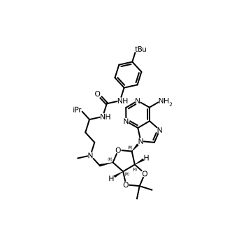 CC(C)C(CCN(C)C[C@H]1O[C@@H](n2cnc3c(N)ncnc32)[C@@H]2OC(C)(C)O[C@@H]21)NC(=O)Nc1ccc(C(C)(C)C)cc1